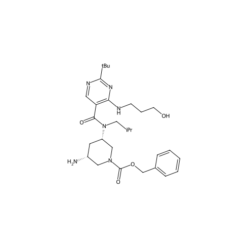 CC(C)CN(C(=O)c1cnc(C(C)(C)C)nc1NCCCO)[C@H]1C[C@@H](N)CN(C(=O)OCc2ccccc2)C1